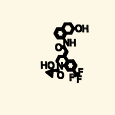 O=C(C=C1CCN(C(=O)C2(O)CC2)c2cc(C(F)(F)F)ccc21)Nc1cccc2c1CC(O)CC2